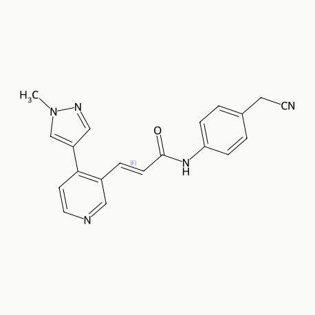 Cn1cc(-c2ccncc2/C=C/C(=O)Nc2ccc(CC#N)cc2)cn1